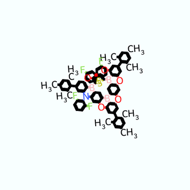 Cc1cc(C)c(-c2cc3c4c(c2)Oc2cc5c(cc2B4c2cc4c(cc2O3)Oc2cc(-c3c(C)cc(C)cc3C)cc3c2B4c2sc4ccc(F)cc4c2O3)B2c3sc4ccc(F)cc4c3Oc3cc(-c4c(C)cc(C)cc4C)cc(c32)N5c2c(F)cccc2F)c(C)c1